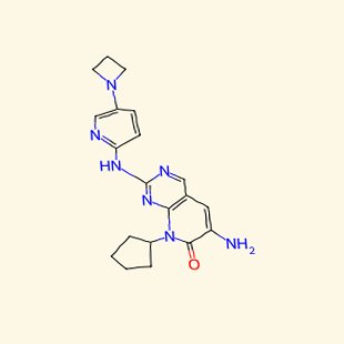 Nc1cc2cnc(Nc3ccc(N4CCC4)cn3)nc2n(C2CCCC2)c1=O